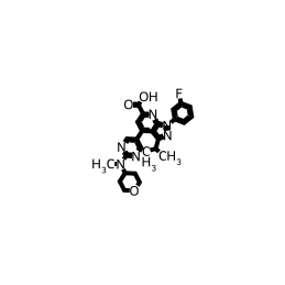 CC(C)c1nn(-c2cccc(F)c2)c2nc(C(=O)O)cc(-c3cnc(N(C)C4CCOCC4)nc3)c12